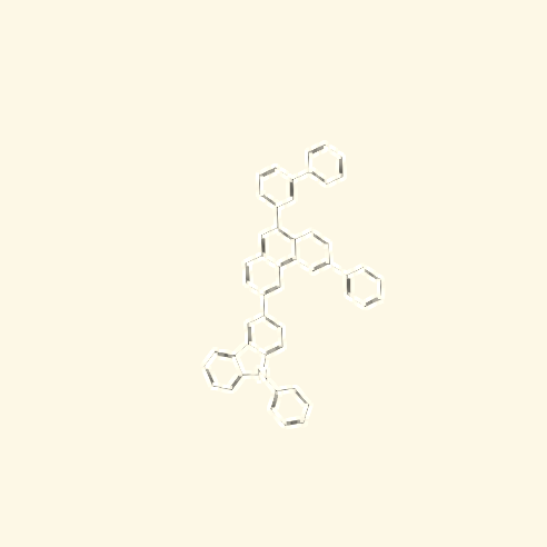 c1ccc(-c2cccc(-c3cc4ccc(-c5ccc6c(c5)c5ccccc5n6-c5ccccc5)cc4c4cc(-c5ccccc5)ccc34)c2)cc1